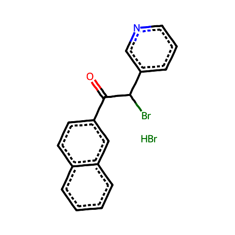 Br.O=C(c1ccc2ccccc2c1)C(Br)c1cccnc1